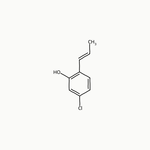 C/C=C/c1ccc(Cl)cc1O